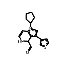 O=CC1NC=Cc2c1c(-c1ccsc1)cn2C1CCCC1